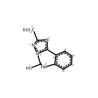 CCOC(=O)c1nc2n(n1)C(O)Nc1ccccc1-2